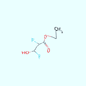 CCOC(=O)C(F)C(O)F